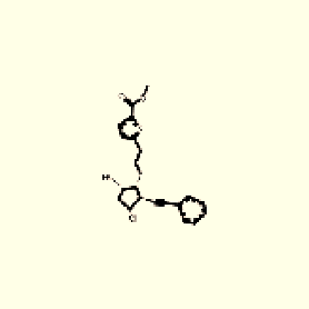 COC(=O)c1ccc(CCC[C@@H]2[C@@H](C#Cc3ccccc3)[C@H](O)C[C@@H]2O)s1